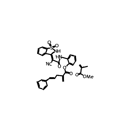 C=C(C)C(=O)OC.C=C(CC=Cc1ccccc1)C(=O)Oc1ccccc1NC(=O)C(C#N)=C1NS(=O)(=O)c2ccccc21